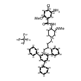 CNC1CN(CCCC[n+]2c(-c3ccccc3)cc(-c3ccccc3)cc2-c2ccccc2)CCC1NC(=O)c1cc(N)c(Cl)cc1OC.F[B-](F)(F)F